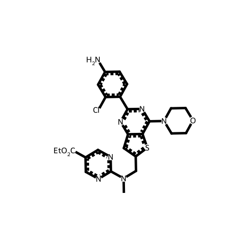 CCOC(=O)c1cnc(N(C)Cc2cc3nc(-c4ccc(N)cc4Cl)nc(N4CCOCC4)c3s2)nc1